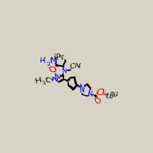 CC(C)CC(C(N)=O)N(CC#N)c1nn(C)cc1-c1ccc(N2CCN(C(=O)OC(C)(C)C)CC2)cc1